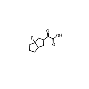 O=C(O)C(=O)C1CC2CCCC2(F)C1